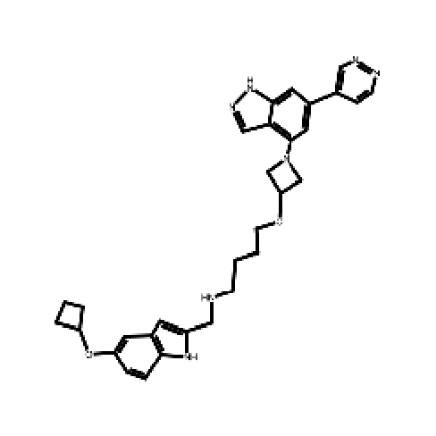 c1cc(-c2cc(N3CC(OCCCCNCc4cc5cc(OC6CCC6)ccc5[nH]4)C3)c3cn[nH]c3c2)cnn1